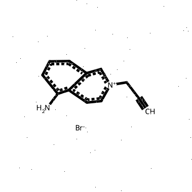 C#CC[n+]1ccc2c(N)cccc2c1.[Br-]